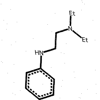 CCN(CC)CCNc1ccccc1